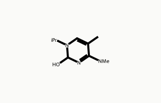 CNC1=NC(O)N(C(C)C)C=C1C